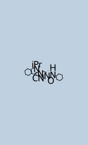 CC(C)c1nc(N2C[C@@H](C)N(C(=O)NC3CCCCC3)[C@@H](C)C2)c(C#N)c2c1CCCC2